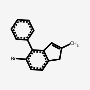 CC1=Cc2c(ccc(Br)c2-c2ccccc2)C1